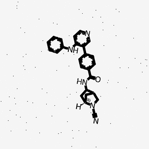 N#CN1CC2C[C@@H]1CC2NC(=O)c1ccc(-c2cnccc2Nc2ccccc2)cc1